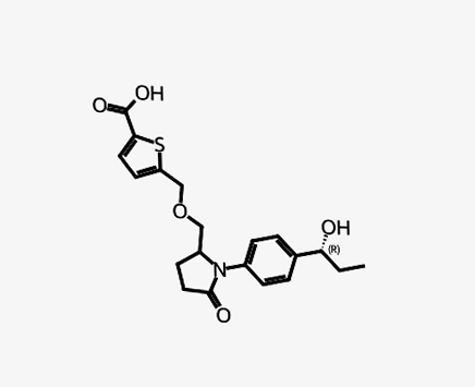 CC[C@@H](O)c1ccc(N2C(=O)CCC2COCc2ccc(C(=O)O)s2)cc1